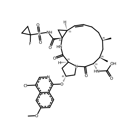 COc1ccc2c(O[C@@H]3C[C@H]4C(=O)N[C@]5(C(=O)NS(=O)(=O)C6(F)CC6)C[C@H]5C=CCC[C@@H](C)C[C@@H](C)[C@H](NC(=O)O)C(=O)N4C3)ncc(Cl)c2c1